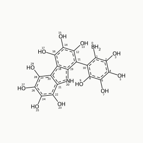 Bc1c(O)c(O)c(O)c(O)c1-c1c(O)c(O)c(O)c2c1[nH]c1c(O)c(O)c(O)c(O)c12